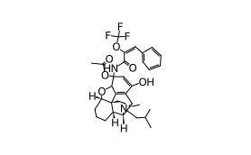 CC(=O)OC1(NC(=O)C(=Cc2ccccc2)OC(F)(F)F)C=C(O)C2=C3C1O[C@H]1CCC[C@H]4[C@@H](C2)[N+](C)(CC(C)C)CC[C@]314